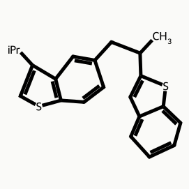 CC(C)c1csc2ccc(CC(C)c3cc4ccccc4s3)cc12